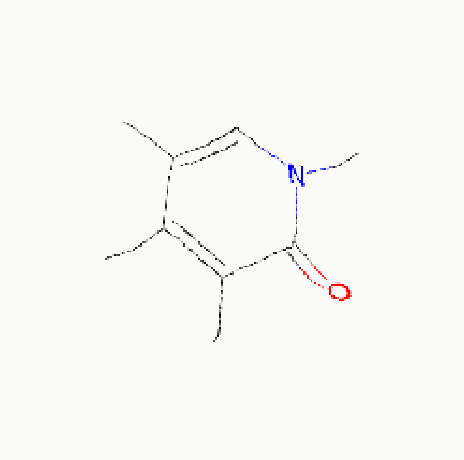 Cc1cn(C)c(=O)c(C)c1C